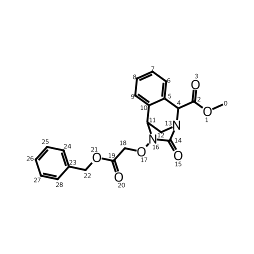 COC(=O)C1c2ccccc2C2CN1C(=O)N2OCC(=O)OCc1ccccc1